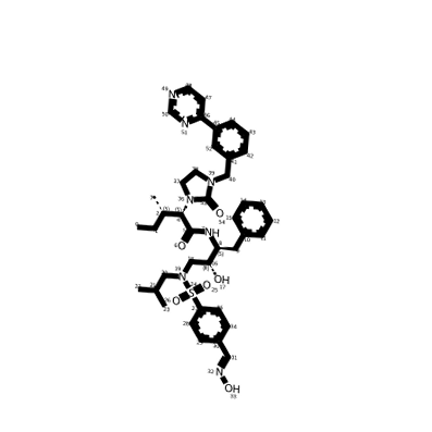 CC[C@H](C)[C@@H](C(=O)N[C@@H](Cc1ccccc1)[C@H](O)CN(CC(C)C)S(=O)(=O)c1ccc(C=NO)cc1)N1CCN(Cc2cccc(-c3ccncn3)c2)C1=O